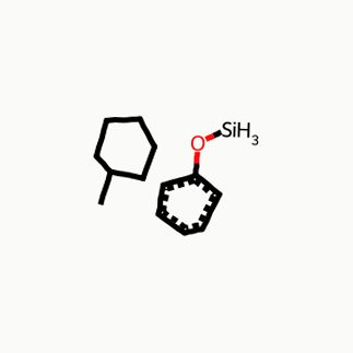 CC1CCCCC1.[SiH3]Oc1ccccc1